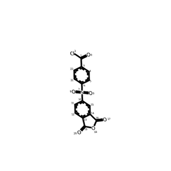 O=C(Cl)c1ccc(S(=O)(=O)c2ccc3c(c2)C(=O)OC3=O)cc1